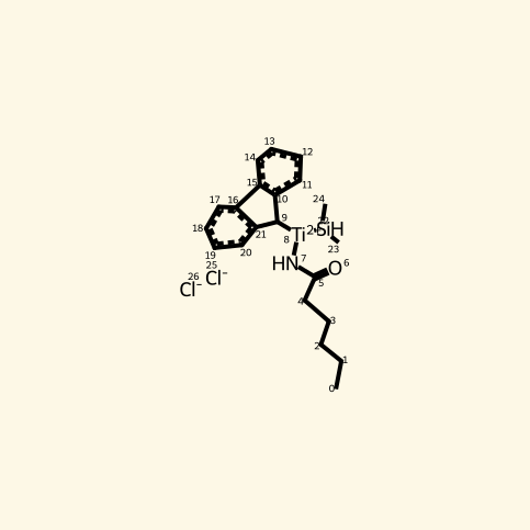 CCCCCC(=O)[NH][Ti+2]([CH]1c2ccccc2-c2ccccc21)[SiH](C)C.[Cl-].[Cl-]